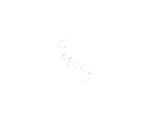 O=C(c1ccc(-c2ccc(-c3c(F)cc4[nH]c(OC5COC6C(O)COC56)nc4c3F)cc2)cc1)N1CCC(O)C1